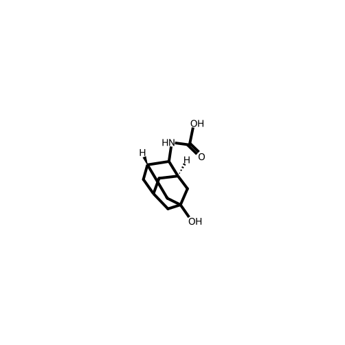 O=C(O)NC1[C@@H]2CC3C[C@H]1CC(O)(C3)C2